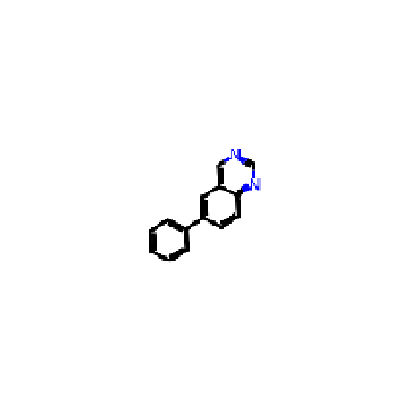 c1ccc(-c2ccc3ncncc3c2)cc1